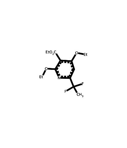 CCOC(=O)c1c(OCC)cc(C(C)(F)F)nc1OCC